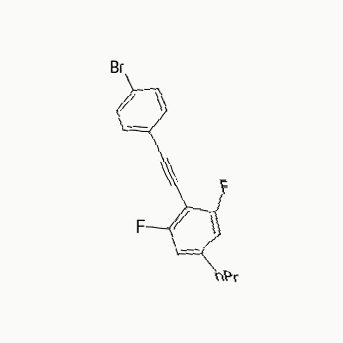 CCCc1cc(F)c(C#Cc2ccc(Br)cc2)c(F)c1